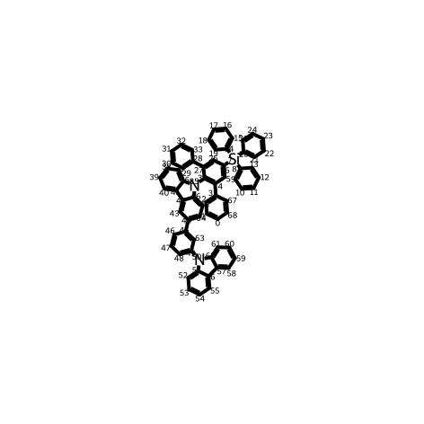 c1ccc(-c2cc([Si](c3ccccc3)(c3ccccc3)c3ccccc3)cc(-c3ccccc3)c2-n2c3ccccc3c3cc(-c4cccc(-n5c6ccccc6c6ccccc65)c4)ccc32)cc1